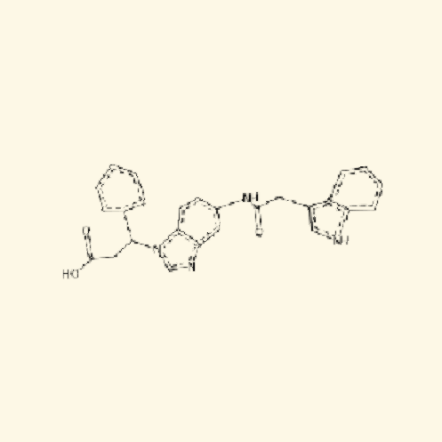 O=C(O)CC(c1ccccc1)n1cnc2cc(NC(=O)Cc3c[nH]c4ccccc34)ccc21